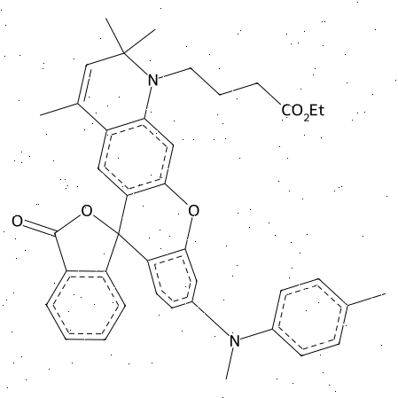 CCOC(=O)CCCN1c2cc3c(cc2C(C)=CC1(C)C)C1(OC(=O)c2ccccc21)c1ccc(N(C)c2ccc(C)cc2)cc1O3